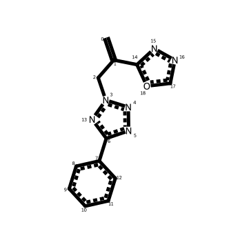 C=C(Cn1nnc(-c2ccccc2)n1)c1nnco1